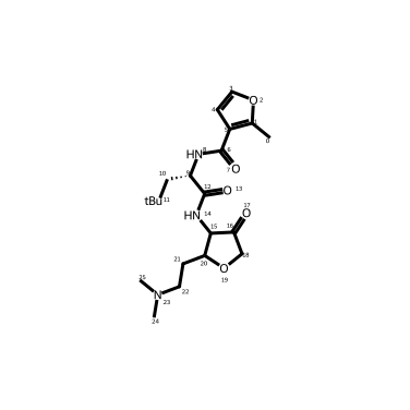 Cc1occc1C(=O)N[C@@H](CC(C)(C)C)C(=O)NC1C(=O)COC1CCN(C)C